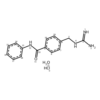 Cl.N=C(N)NCc1ccc(C(=O)Nc2ccccc2)cc1.O